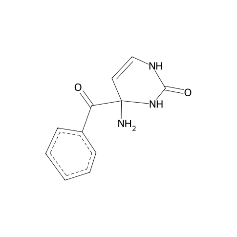 NC1(C(=O)c2ccccc2)C=CNC(=O)N1